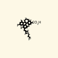 Cc1cc(F)ccc1C1=C(c2cc(F)c(C=C3CN(CCCF)C3)cc2C)c2ccc(C(=O)O)cc2CCC1